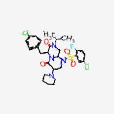 CC(C)N1CC2N(C(=O)C(N3CCCCC3)CN2S(=O)(=O)c2cc(Cl)ccc2F)C(Cc2ccc(Cl)cc2)C1=O